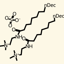 CCCCCCCCCCCCCCCCCC(=O)NCC[N+](C)(C)C.CCCCCCCCCCCCCCCCCC(=O)NCC[N+](C)(C)C.O=S(=O)([O-])[O-]